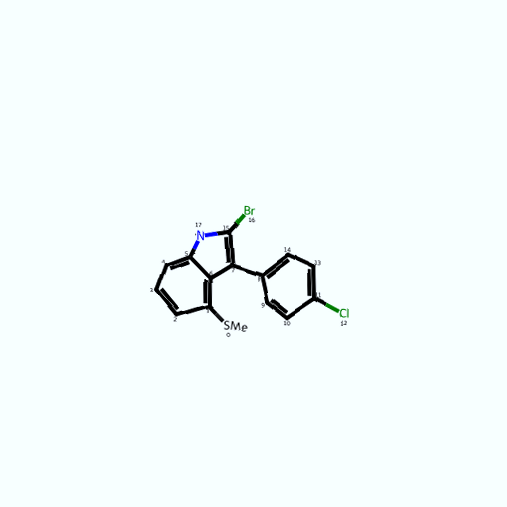 CSc1cccc2c1C(c1ccc(Cl)cc1)=C(Br)[N]2